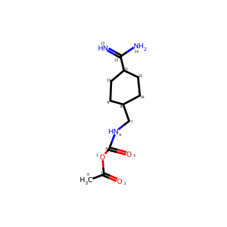 CC(=O)OC(=O)NCC1CCC(C(=N)N)CC1